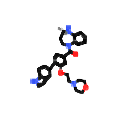 C[C@H]1CCN(C(=O)c2ccc(-c3ccc4[nH]ccc4c3)c(OCCN3CCOCC3)c2)c2ccccc2N1